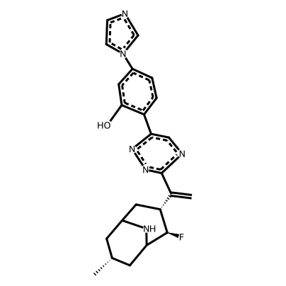 C=C(c1ncc(-c2ccc(-n3ccnc3)cc2O)nn1)[C@H]1CC2C[C@@H](C)CC(N2)[C@@H]1F